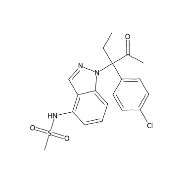 CCC(C(C)=O)(c1ccc(Cl)cc1)n1ncc2c(NS(C)(=O)=O)cccc21